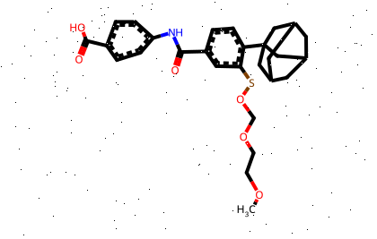 COCCOCOSc1cc(C(=O)Nc2ccc(C(=O)O)cc2)ccc1C12CC3CC(CC(C3)C1)C2